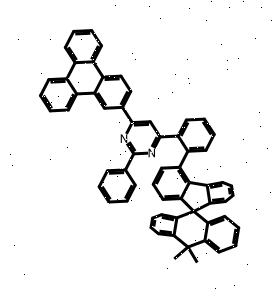 CC1(C)c2ccccc2C2(c3ccccc3-c3c(-c4ccccc4-c4cc(-c5ccc6c7ccccc7c7ccccc7c6c5)nc(-c5ccccc5)n4)cccc32)c2ccccc21